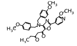 CCC(=O)CC(=O)c1oc(-c2ccnc(OC)c2)nc1N(Cc1ccc(OC)cc1)Cc1ccc(OC)cc1